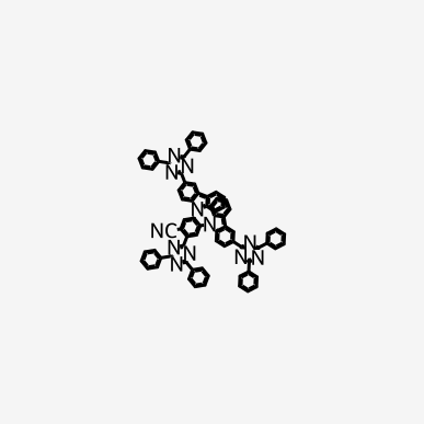 N#Cc1cc(-n2c3ccccc3c3cc(-c4nc(-c5ccccc5)nc(-c5ccccc5)n4)ccc32)c(-n2c3ccccc3c3cc(-c4nc(-c5ccccc5)nc(-c5ccccc5)n4)ccc32)cc1-c1nc(-c2ccccc2)nc(-c2ccccc2)n1